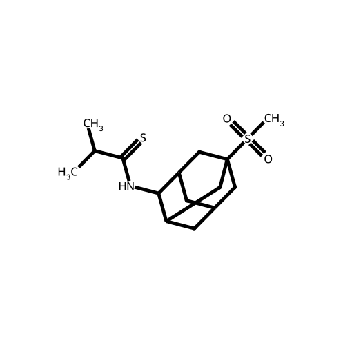 CC(C)C(=S)NC1C2CC3CC1CC(S(C)(=O)=O)(C3)C2